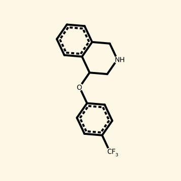 FC(F)(F)c1ccc(OC2CNCc3ccccc32)cc1